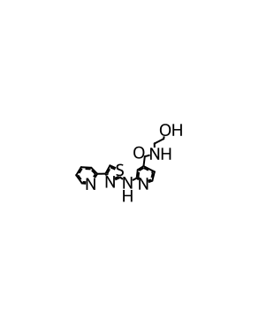 O=C(NCCO)c1ccnc(Nc2nc(-c3ccccn3)cs2)c1